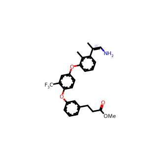 COC(=O)CCc1cccc(Oc2ccc(Oc3cccc(/C(C)=C\N)c3C)cc2C(F)(F)F)c1